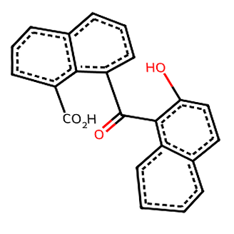 O=C(O)c1cccc2cccc(C(=O)c3c(O)ccc4ccccc34)c12